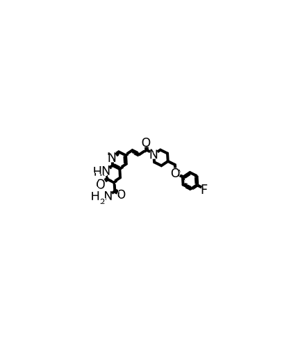 NC(=O)C1Cc2cc(C=CC(=O)N3CCC(COc4ccc(F)cc4)CC3)cnc2NC1=O